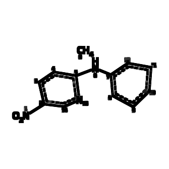 C.O=[N+]([O-])c1ccc(Nc2ccccc2)nc1